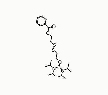 CC(C)N(C(C)C)P(OCCSSCCOC(=O)c1ccccc1)N(C(C)C)C(C)C